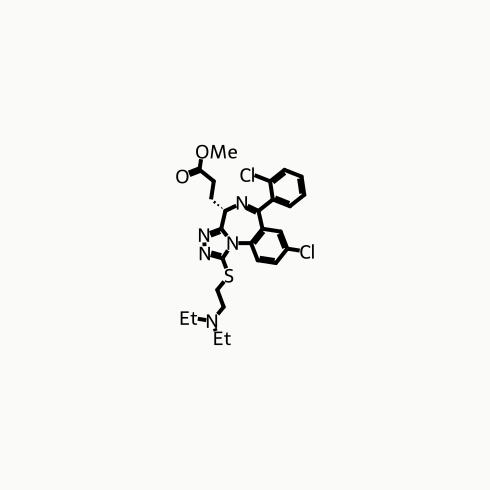 CCN(CC)CCSc1nnc2n1-c1ccc(Cl)cc1C(c1ccccc1Cl)=N[C@H]2CCC(=O)OC